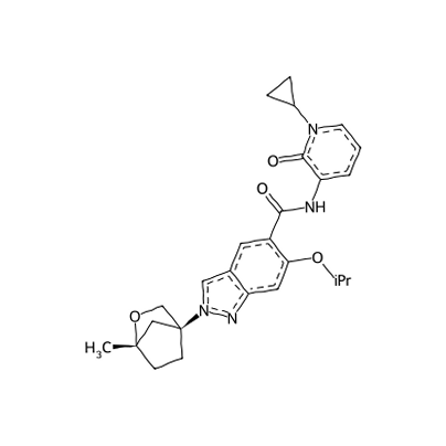 CC(C)Oc1cc2nn([C@@]34CC[C@@](C)(C3)OC4)cc2cc1C(=O)Nc1cccn(C2CC2)c1=O